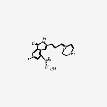 Cl.O=c1[nH]c(CCCN2CCNCC2)cc2c([N+](=O)[O-])cc(F)cc12